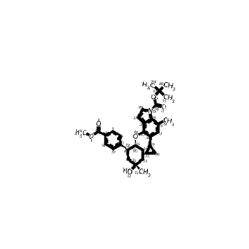 COC(=O)c1ccc([C@@H]2C[C@@](C)(O)CC[C@H]2Oc2c(C3CC3)cc(C)c3c2ccn3C(=O)OC(C)(C)C)cc1